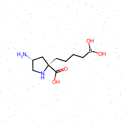 N[C@H]1CN[C@](CCCCB(O)O)(C(=O)O)C1